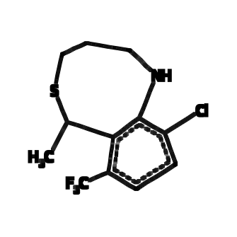 CC1SCCCNc2c(Cl)ccc(C(F)(F)F)c21